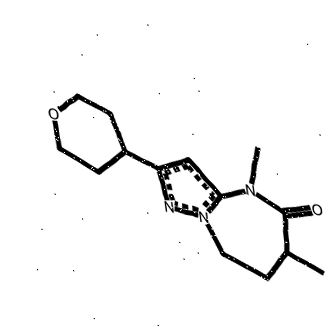 CC1CCn2nc(C3CCOCC3)cc2N(C)C1=O